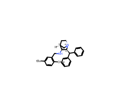 COc1ccc(C(C)(C)C)cc1CN[C@H]1[C@H]2CC[N@@](C2)[C@H]1C(c1ccccc1)c1ccccc1